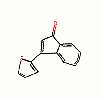 O=C1C=C(c2cccs2)c2ccccc21